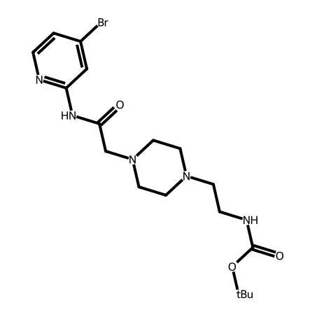 CC(C)(C)OC(=O)NCCN1CCN(CC(=O)Nc2cc(Br)ccn2)CC1